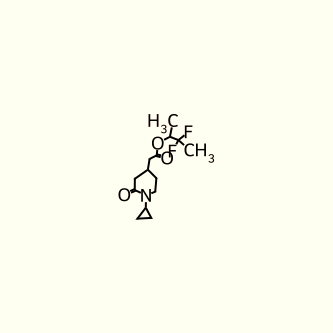 CC(OC(=O)CC1CCN(C2CC2)C(=O)C1)C(C)(F)F